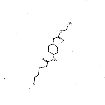 CCOC(=O)C[C@H]1CC[C@H](NC(=O)CCCCCl)CC1